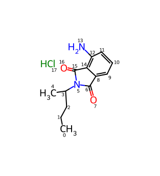 CCCC(C)N1C(=O)c2cccc(N)c2C1=O.Cl